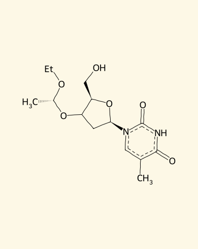 CCO[C@@H](C)OC1C[C@H](n2cc(C)c(=O)[nH]c2=O)O[C@@H]1CO